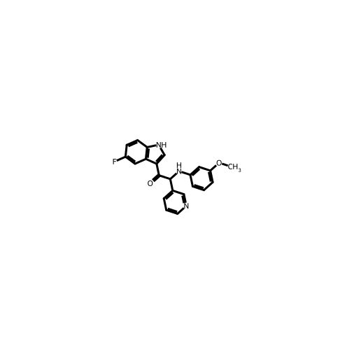 COc1cccc(NC(C(=O)c2c[nH]c3ccc(F)cc23)c2cccnc2)c1